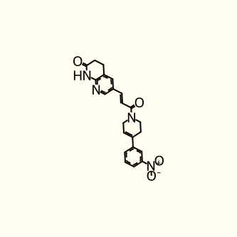 O=C1CCc2cc(/C=C/C(=O)N3CC=C(c4cccc([N+](=O)[O-])c4)CC3)cnc2N1